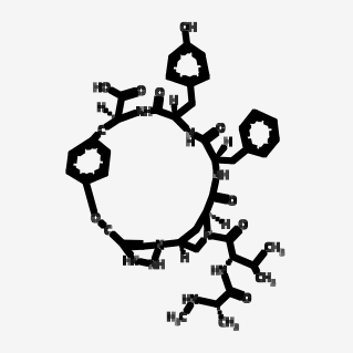 CN[C@@H](C)C(=O)N[C@H](C(=O)N1C[C@@H]2C[C@H]1C(=O)N[C@@H](Cc1ccccc1)C(=O)N[C@@H](Cc1ccc(O)cc1)C(=O)N[C@H](C(=O)O)Cc1ccc(cc1)OCC1=CN2NN1)C(C)C